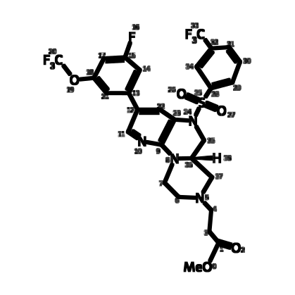 COC(=O)CCN1CCN2c3ncc(-c4cc(F)cc(OC(F)(F)F)c4)cc3N(S(=O)(=O)c3cccc(C(F)(F)F)c3)C[C@@H]2C1